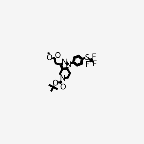 COC(=O)Cc1nn(-c2ccc(SC(F)(F)F)cc2)c2c1CN(C(=O)OC(C)(C)C)CC2